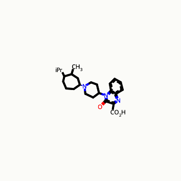 CC(C)C1CCC[C@@H](N2CCC(n3c(=O)c(C(=O)O)nc4ccccc43)CC2)CC1C